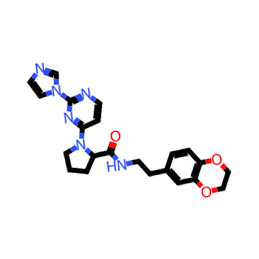 O=C(NCCc1ccc2c(c1)OCCO2)C1CCCN1c1ccnc(-n2ccnc2)n1